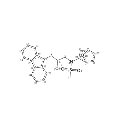 CS(=O)(=O)N(CC(O)Cn1c2ccccc2c2ccccc21)c1cc2ccc1o2